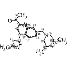 CC(=O)c1cc(-c2cnn(C)c2)c2ccc(CN3C[C@@H](C)O[C@@H](C)C3)cc2n1